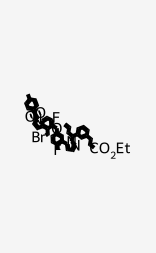 C=CCC(c1cccc(CCC(=O)OCC)c1)n1nccc1-c1cc(Oc2c(F)cc3c(ccn3S(=O)(=O)c3ccc(C)cc3)c2CBr)ccc1F